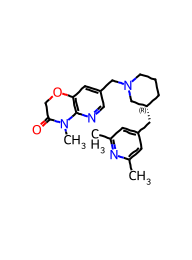 Cc1cc(C[C@H]2CCCN(Cc3cnc4c(c3)OCC(=O)N4C)C2)cc(C)n1